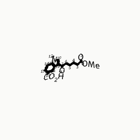 COC(=O)CCCCC(=O)c1cn(C)c2ccc(C(=O)O)cc12